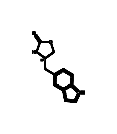 O=C1N[C@@H](Cc2ccc3[nH]ccc3c2)CO1